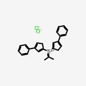 C[C](C)=[Ti+2]([C]1=CC(c2ccccc2)=CC1)[C]1=CC(c2ccccc2)=CC1.[Cl-].[Cl-]